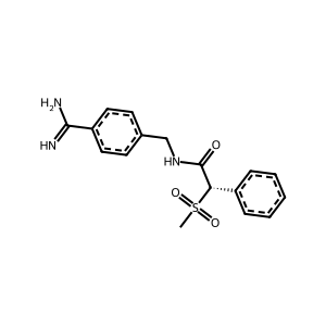 CS(=O)(=O)[C@H](C(=O)NCc1ccc(C(=N)N)cc1)c1ccccc1